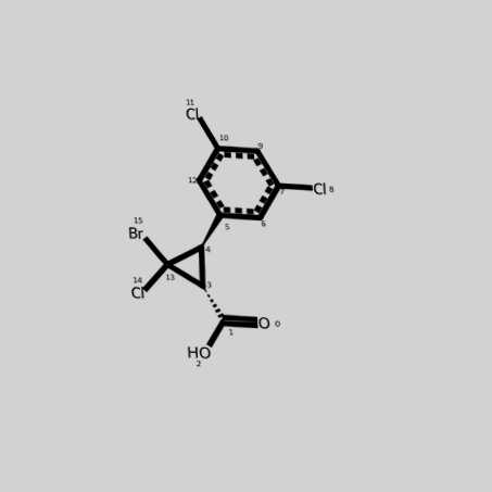 O=C(O)[C@H]1[C@H](c2cc(Cl)cc(Cl)c2)C1(Cl)Br